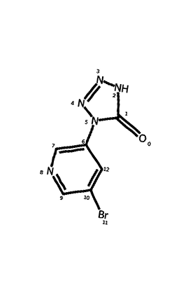 O=c1[nH]nnn1-c1cncc(Br)c1